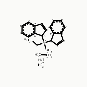 CC.C[CH2][Zr]([SiH3])([CH]1C=Cc2ccccc21)[CH]1C=Cc2ccccc21.Cl.Cl